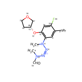 CCCc1cc(N(C)/N=N\N(C)C=O)c(O[C@@H]2CCOC2)cc1F